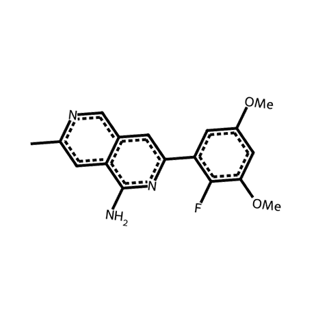 COc1cc(OC)c(F)c(-c2cc3cnc(C)cc3c(N)n2)c1